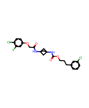 O=C(COc1ccc(Cl)c(F)c1)NC12CC(NC(=O)OCCCc3cccc(Cl)c3)(C1)C2